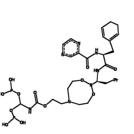 CC(C)C[C@H](NC(=O)[C@H](CC1=CCCC=C1)NC(=O)c1cnccn1)B1OCCN(CCOC(=O)NC(OP(O)O)OP(O)O)CCO1